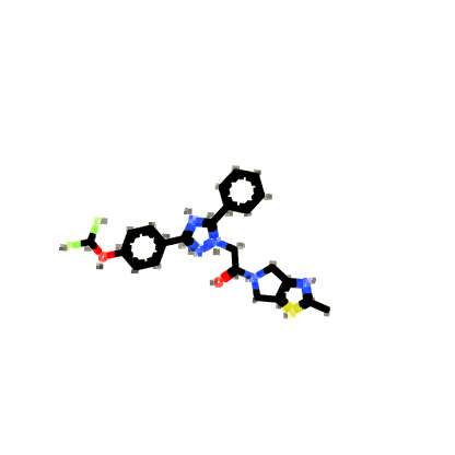 Cc1nc2c(s1)CN(C(=O)Cn1nc(-c3ccc(OC(F)F)cc3)nc1-c1ccccc1)C2